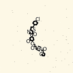 COc1cc(-n2cnc3cc(-c4ccc(Cl)cc4)sc3c2=O)ccc1OCC(=O)N1CCN(C(=O)c2ccco2)CC1